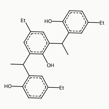 CCc1ccc(O)c(C(C)c2cc(CC)cc(C(C)c3cc(CC)ccc3O)c2O)c1